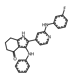 O=C1CCCc2[nH]c(-c3ccnc(Nc4cccc(F)c4)c3)c(Nc3ccccc3)c21